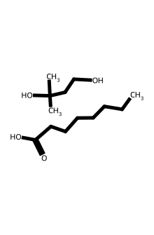 CC(C)(O)CCO.CCCCCCCC(=O)O